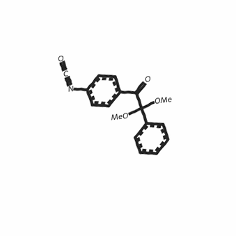 COC(OC)(C(=O)c1ccc(N=C=O)cc1)c1ccccc1